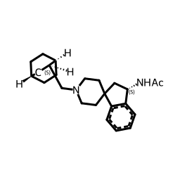 CC(=O)N[C@H]1CC2(CCN(C[C@H]3C[C@H]4CC[C@H]3CC4)CC2)c2ccccc21